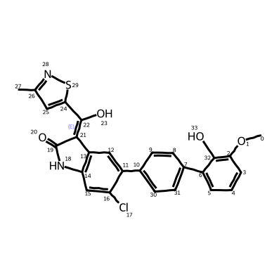 COc1cccc(-c2ccc(-c3cc4c(cc3Cl)NC(=O)/C4=C(/O)c3cc(C)ns3)cc2)c1O